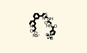 CS(=O)(=O)n1ccc(C(=O)NCC(=O)Nc2nc(-c3cccc(-c4ccnc(CC(=O)[O-])c4)c3)cs2)c1.[Na+]